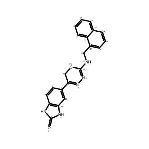 O=c1[nH]c2ccc(C3=NN=C(NCc4cccc5ccccc45)SC3)cc2[nH]1